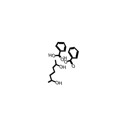 CC(O)CCCC(C)O.O=C(O)c1ccccc1.O=C(O)c1ccccc1